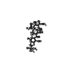 CCC(C)(C)N1Cc2c(O)c3c(c(F)c2C1)C[C@H]1C[C@H]2[C@H](N(C)C)C(O)=C(C(N)=O)C(=O)[C@@]2(O)C(O)=C1C3=O